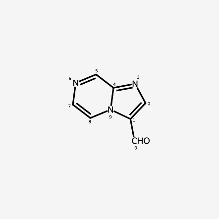 O=Cc1cnc2cnccn12